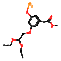 CCOC(COc1cc(OP)cc(C(=O)OC)c1)OCC